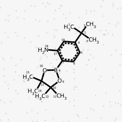 CC(C)(C)c1ccc(B2OC(C)(C)C(C)(C)O2)c(N)c1